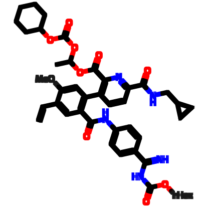 C=Cc1cc(C(=O)Nc2ccc(C(=N)NC(=O)OCCCCCC)cc2)c(-c2ccc(C(=O)NCC3CC3)nc2C(=O)OC(C)OC(=O)OC2CCCCC2)cc1OC